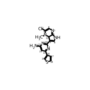 CN1C(Cl)=CN=C2NC=C(c3nc(N)cc(-c4ccsc4)n3)C21